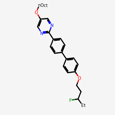 CCCCCCCCOc1cnc(-c2ccc(-c3ccc(OCCC(F)CC)cc3)cc2)nc1